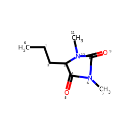 CCCC1C(=O)N(C)C(=O)N1C